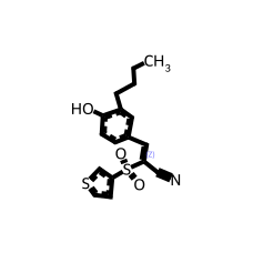 CCCCc1cc(/C=C(/C#N)S(=O)(=O)c2ccsc2)ccc1O